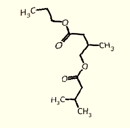 CCCOC(=O)CC(C)COC(=O)CC(C)C